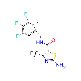 Cc1c(CNC(=O)C2SC(N)=NC2C(F)(F)F)cc(F)c(F)c1F